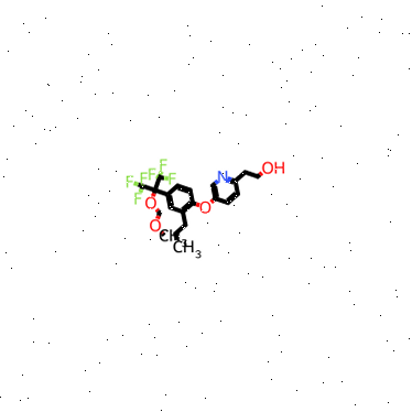 CCCc1cc(C(OCOC)(C(F)(F)F)C(F)(F)F)ccc1Oc1ccc(CCO)nc1